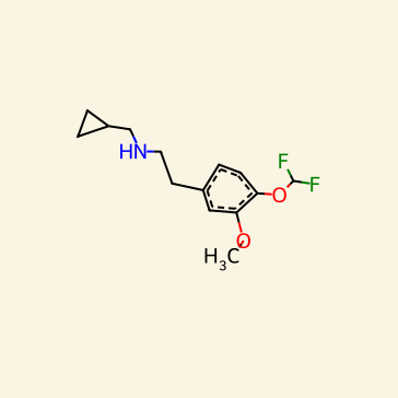 COc1cc(CCNCC2CC2)ccc1OC(F)F